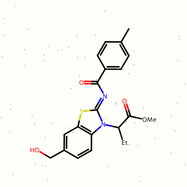 CCC(C(=O)OC)n1c(=NC(=O)c2ccc(C)cc2)sc2cc(CO)ccc21